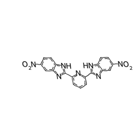 O=[N+]([O-])c1ccc2[nH]c(-c3cccc(-c4nc5cc([N+](=O)[O-])ccc5[nH]4)n3)nc2c1